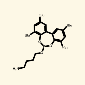 CC(C)(C)c1cc(C(C)(C)C)c2op(OCCCCN)oc3c(C(C)(C)C)cc(C(C)(C)C)cc3c2c1